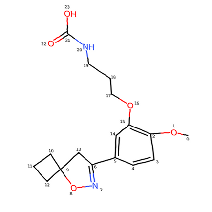 COc1ccc(C2=NOC3(CCC3)C2)cc1OCCCNC(=O)O